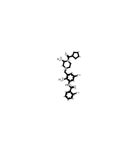 Cc1c(CN2CCN(C(=O)C3CCCC3)C(C)C2)cc(F)cc1NC(=O)c1ccccc1F